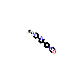 CC(C)N1CCC(c2ccc(-c3ccc(N4CCOCC4)cc3)cn2)CC1